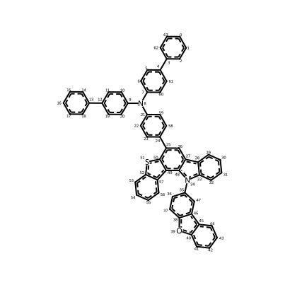 c1ccc(-c2ccc(N(c3ccc(-c4ccccc4)cc3)c3ccc(-c4cc5c6ccccc6n(-c6ccc7oc8ccccc8c7c6)c5c5c4sc4ccccc45)cc3)cc2)cc1